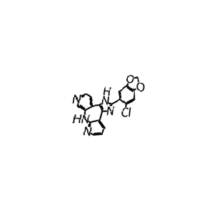 Clc1cc2c(cc1-c1nc3c([nH]1)-c1ccncc1Nc1ncccc1-3)OCO2